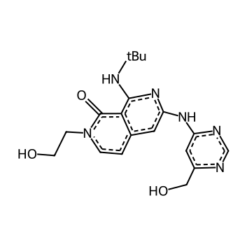 CC(C)(C)Nc1nc(Nc2cc(CO)ncn2)cc2ccn(CCO)c(=O)c12